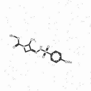 COc1ccc(S(=O)(=O)N/N=C2/CN(C(=O)OC(C)(C)C)C2C)cc1